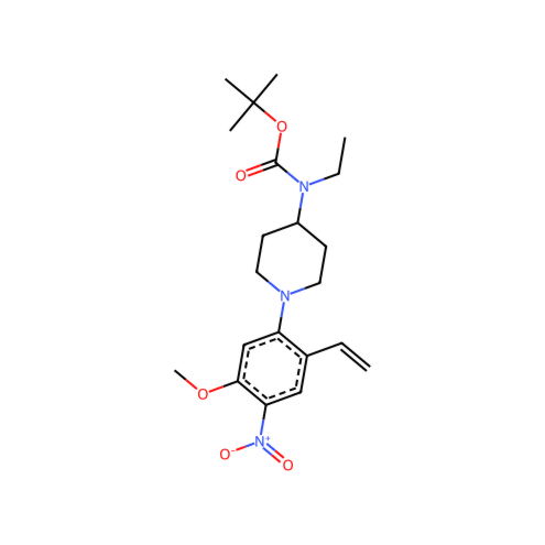 C=Cc1cc([N+](=O)[O-])c(OC)cc1N1CCC(N(CC)C(=O)OC(C)(C)C)CC1